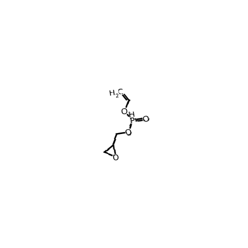 C=CO[PH](=O)OCC1CO1